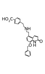 O=C(O)c1ccc(CCNCCc2ccc(OCc3ccccc3)c3[nH]c(=O)ccc23)cc1